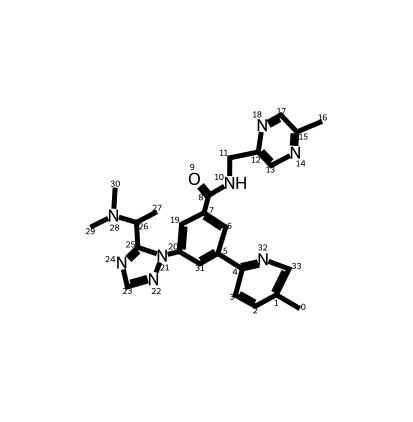 Cc1ccc(-c2cc(C(=O)NCc3cnc(C)cn3)cc(-n3ncnc3C(C)N(C)C)c2)nc1